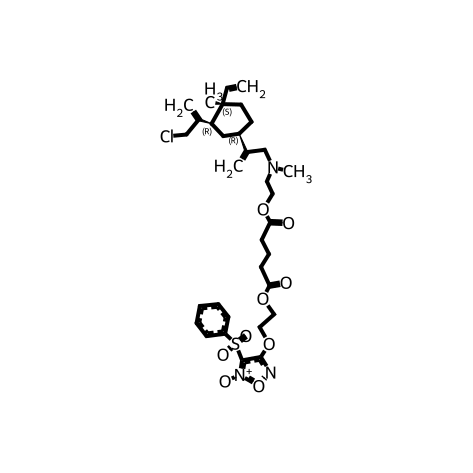 C=C[C@]1(C)CC[C@@H](C(=C)CN(C)CCOC(=O)CCCC(=O)OCCOc2no[n+]([O-])c2S(=O)(=O)c2ccccc2)C[C@H]1C(=C)CCl